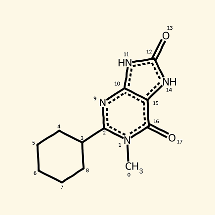 Cn1c(C2CCCCC2)nc2[nH]c(=O)[nH]c2c1=O